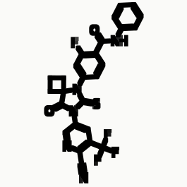 N#Cc1ncc(N2C(=O)C3(CCC3)N(c3ccc(C(=O)Nc4ccccc4)c(F)c3)C2=S)cc1C(F)(F)F